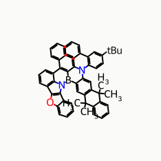 CC(C)(C)c1ccc(N2c3cc4c(cc3B3c5c2cc2ccccc2c5-c2cccc5c6oc7ccccc7c6n3c25)C(C)(C)c2ccccc2C4(C)C)c(-c2ccccc2)c1